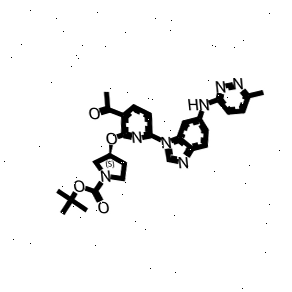 CC(=O)c1ccc(-n2cnc3ccc(Nc4ccc(C)nn4)cc32)nc1O[C@H]1CCN(C(=O)OC(C)(C)C)C1